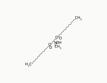 CCCCCCCCCCCCCCCC(=O)OCCC(CCOC(=O)CCCCCCCCCCCCCCC)N(O)CC